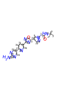 CC(C)(C)NC(=O)Cn1cc(-c2nc(-c3ccc(-c4cnc(N)nc4)nc3)no2)cn1